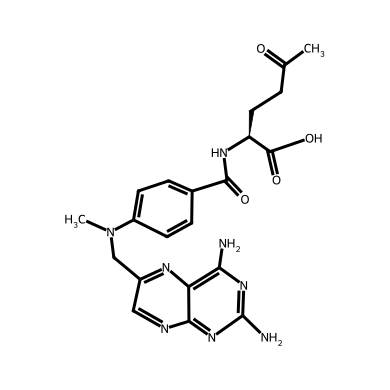 CC(=O)CC[C@H](NC(=O)c1ccc(N(C)Cc2cnc3nc(N)nc(N)c3n2)cc1)C(=O)O